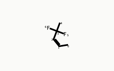 C/C=C\C(C)(F)F